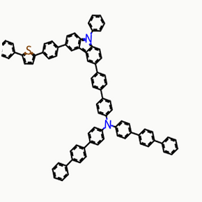 c1ccc(-c2ccc(-c3ccc(N(c4ccc(-c5ccc(-c6ccccc6)cc5)cc4)c4ccc(-c5ccc(-c6ccc7c(c6)c6cc(-c8ccc(-c9ccc(-c%10ccccc%10)s9)cc8)ccc6n7-c6ccccc6)cc5)cc4)cc3)cc2)cc1